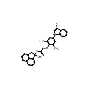 CC1=C[SH](c2cc(C)c(OCC(=O)OC3(C)Cc4cccc5cccc3c45)c(C)c2)c2ccccc21